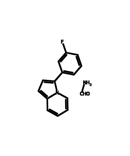 Fc1cccc(-c2ccc3ccccn23)c1.NC=O